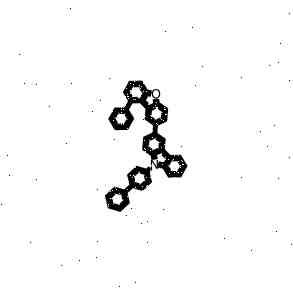 c1ccc(-c2ccc(-n3c4ccccc4c4cc(-c5ccc6oc7cccc(-c8ccccc8)c7c6c5)ccc43)cc2)cc1